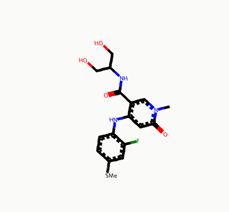 CSc1ccc(Nc2cc(=O)n(C)cc2C(=O)NC(CO)CO)c(F)c1